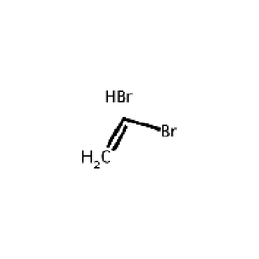 Br.C=CBr